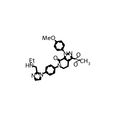 CCNCc1nccn1-c1ccc(N2CCc3c(S(C)(=O)=O)nn(-c4ccc(OC)cc4)c3C2=O)cc1